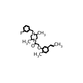 CC=Cc1ccc(C)c(OCC(=O)N2CC(C)N(Cc3cccc(F)c3)CC2C)c1